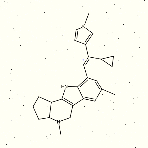 Cc1cc(/C=C(/c2ccn(C)c2)C2CC2)c2[nH]c3c(c2c1)CN(C)C1CCCC31